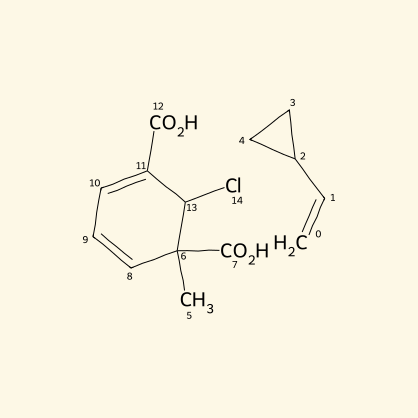 C=CC1CC1.CC1(C(=O)O)C=CC=C(C(=O)O)C1Cl